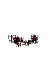 COC(=O)C[C@@H]1N=C(c2ccc(N3CC[C@@H](C(=O)N[C@H]4C[C@@H](Oc5ccc6oc(C(=O)N[C@H](C(=O)N7C[C@H](O)C[C@H]7C(=O)N[C@@H](C)c7ccc(-c8scnc8C)cc7)C(C)(C)C)cc6c5)C4)C3)cc2)c2c(sc(C)c2C)-n2c(C)nnc21